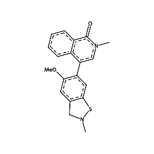 COc1cc2c(cc1-c1cn(C)c(=O)c3ccccc13)SN(C)C2